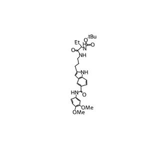 CCC(NC(=O)OC(C)(C)C)C(=O)NCCCc1cc2cc(C(=O)Nc3ccc(OC)c(OC)c3)ccc2[nH]1